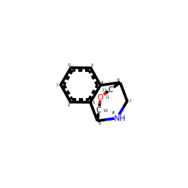 c1ccc2c(c1)C1CNC2COC1